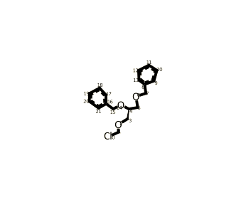 ClCOC[C@H](COCc1ccccc1)OCc1ccccc1